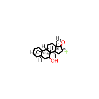 C[C@]12CCCC[C@H]1C[C@H](O)[C@@H]1[C@@H]2CC[C@]2(C)C(=O)[C@H](F)C[C@@H]12